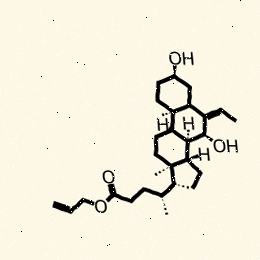 C=CCOC(=O)CC[C@@H](C)[C@H]1CC[C@H]2[C@@H]3[C@H](O)C(=CC)C4C[C@H](O)CC[C@]4(C)[C@H]3CC[C@]12C